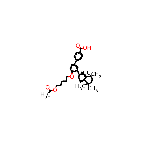 CC(=O)OCCCCCOc1ccc(-c2ccc(C(=O)O)cc2)cc1-c1ccc2c(c1)C(C)(C)CCC2(C)C